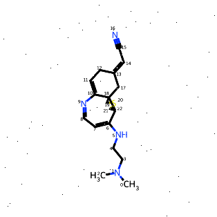 CN(C)CCNC1=CC=NC2=CCC(=CC#N)CC23CSC=C13